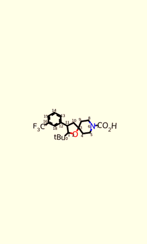 CC(C)(C)C1OC2(CCN(C(=O)O)CC2)CC1c1cccc(C(F)(F)F)c1